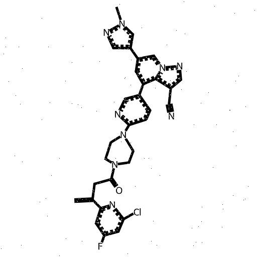 C=C(CC(=O)N1CCN(c2ccc(-c3cc(-c4cnn(C)c4)cn4ncc(C#N)c34)cn2)CC1)c1cc(F)cc(Cl)n1